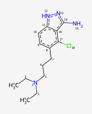 CCN(CC)CCCc1ccc2[nH]nc(N)c2c1Cl